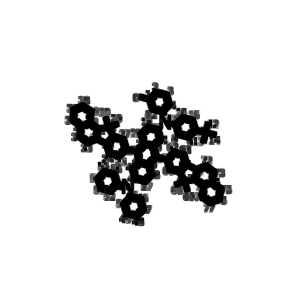 Cc1cccc(N(c2ccc(C(C)(C)C)cc2)c2ccc3c(-c4ccc5c(c4)C(C)(C)c4c-5ccc5ccccc45)c4cc(N(c5ccccc5)c5ccccc5)ccc4c(-c4ccc5c(c4)C(C)(C)c4c-5ccc5ccccc45)c3c2)c1